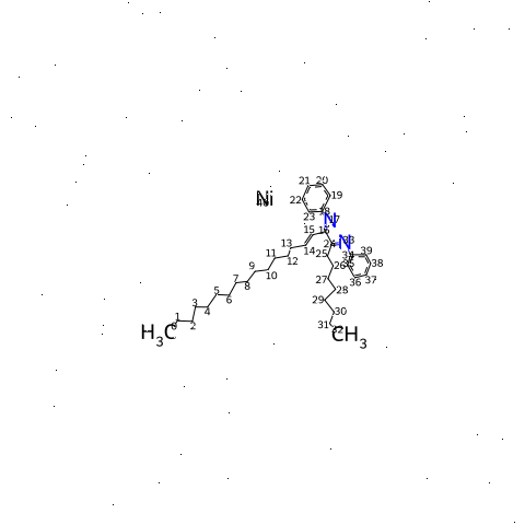 CCCCCCCCCCCCCC/C=C/C(=N\c1ccccc1)C(/CCCCCCCC)=N/c1ccccc1.[Ni]